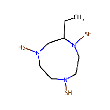 CCC1CN(S)CCN(S)CCN1S